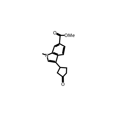 COC(=O)c1ccc2c(C3CCC(=O)C3)cn(C)c2c1